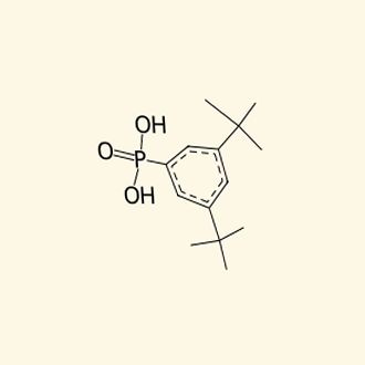 CC(C)(C)c1cc(C(C)(C)C)cc(P(=O)(O)O)c1